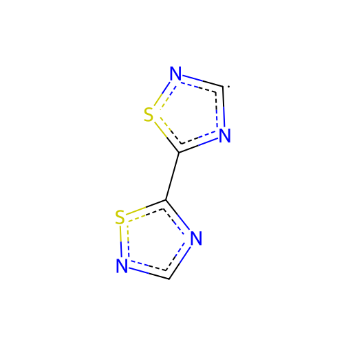 [c]1nsc(-c2ncns2)n1